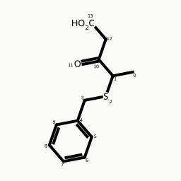 CC(SCc1ccccc1)C(=O)CC(=O)O